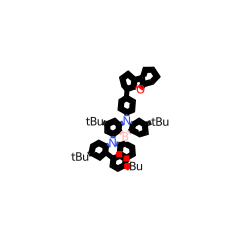 CC(C)(C)c1ccc(N2c3cc(C(C)(C)C)ccc3B3c4ccc(C(C)(C)C)cc4N(c4ccc(-c5cccc6c5oc5ccccc56)cc4)c4cc(C(C)(C)C)cc2c43)c(-c2ccccc2)c1